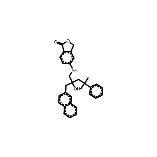 CC(C)(CC(O)(CNc1ccc2c(c1)COC2=O)Cc1ccc2ccccc2c1)c1ccccc1